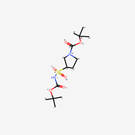 CC(C)(C)OC(=O)NS(=O)(=O)C1CCN(C(=O)OC(C)(C)C)C1